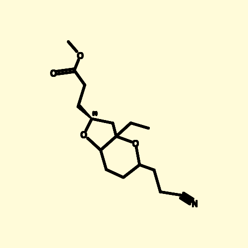 CCC12C[C@H](CCC(=O)OC)OC1CCC(CCC#N)O2